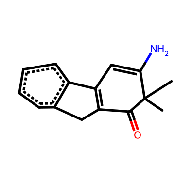 CC1(C)C(=O)C2=C(C=C1N)c1ccccc1C2